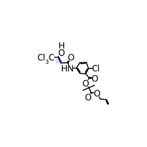 C=CCOC(=O)C(C)(C)OC(=O)c1cc(NC(=O)/C=C(\O)C(Cl)(Cl)Cl)ccc1Cl